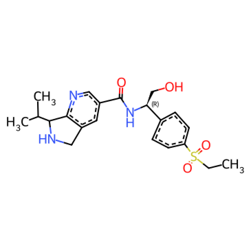 CCS(=O)(=O)c1ccc([C@H](CO)NC(=O)c2cnc3c(c2)CNC3C(C)C)cc1